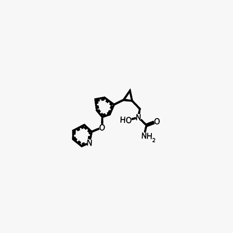 NC(=O)N(O)CC1CC1c1cccc(Oc2ccccn2)c1